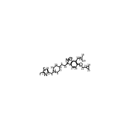 Cc1nc(CN2CCC(CCc3noc4c(CN(C)C)c(OCC5CC5)ccc34)CC2)cs1